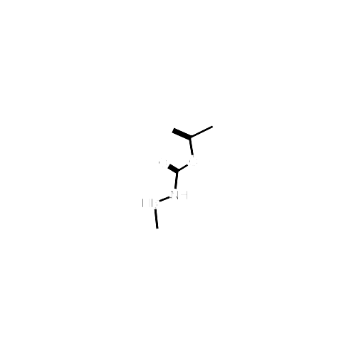 C=C(C)OC(=O)NBC